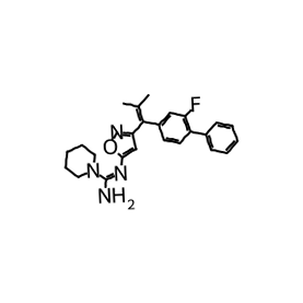 CC(C)=C(c1ccc(-c2ccccc2)c(F)c1)c1cc(/N=C(/N)N2CCCCC2)on1